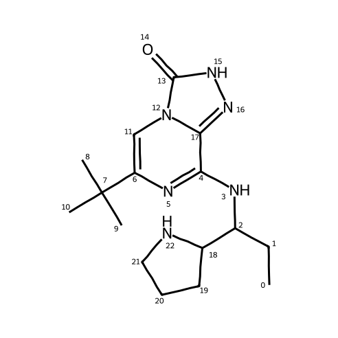 CCC(Nc1nc(C(C)(C)C)cn2c(=O)[nH]nc12)C1CCCN1